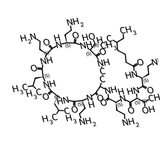 CCC(C)CCCC(=O)N[C@@H](CCN)C(=O)N[C@H](C(=O)N[C@@H](CCN)C(=O)NC1CCNC(=O)[C@H]([C@@H](C)O)NC(=O)[C@H](CCN)NC(=O)[C@H](CCN)NC(=O)[C@H](CC(C)C)NC(=O)[C@@H](CC(C)C)NC(=O)[C@H](CCN)NC1=O)[C@@H](C)O